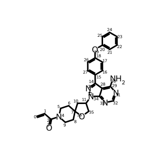 C=CC(=O)N1CCC2(CC1)CC(n1nc(-c3ccc(Oc4ccccc4)cc3)c3c(N)ncnc31)CO2